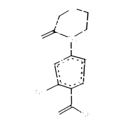 N#Cc1cc(N2CCOCC2=O)ccc1C(N)=O